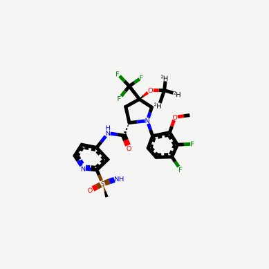 [2H]C([2H])([2H])O[C@]1(C(F)(F)F)C[C@@H](C(=O)Nc2ccnc([S@](C)(=N)=O)c2)N(c2ccc(F)c(F)c2OC)C1